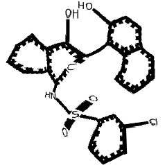 O=S(=O)(Nc1cc(-c2c(O)ccc3ccccc23)c(O)c2ccccc12)c1cccc(Cl)c1